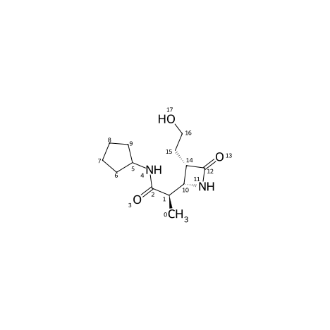 C[C@@H](C(=O)NC1CCCC1)[C@H]1NC(=O)[C@H]1CCO